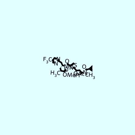 COC(=O)C(C)C[C@H](Cc1ncc(C(F)(F)F)cn1)NC(=O)c1csc(C(CC(C(C)C)N(C)C(=O)C2CC2)OC(C)=O)n1